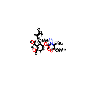 CCC(C)C(NC(=O)O[C@@H]1CC[C@]2(CO2)[C@@H]([C@@]2(C)O[C@@H]2CC=C(C)C)[C@@H]1OC)C(=O)OC